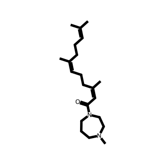 CC(C)=CCCC(C)=CCCC(C)=CC(=O)N1CCCN(C)CC1